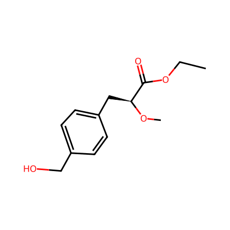 CCOC(=O)[C@H](Cc1ccc(CO)cc1)OC